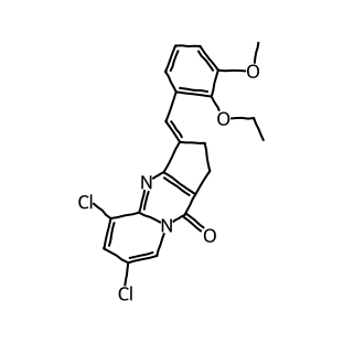 CCOc1c(/C=C2\CCc3c2nc2c(Cl)cc(Cl)cn2c3=O)cccc1OC